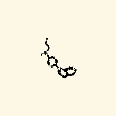 FCCNc1ccc(-n2ccc3ccncc32)nc1